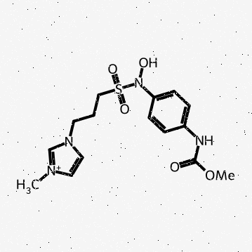 COC(=O)Nc1ccc(N(O)S(=O)(=O)CCCn2cc[n+](C)c2)cc1